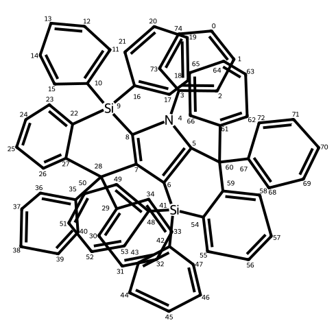 c1ccc(-n2c3c(c4c2[Si](c2ccccc2)(c2ccccc2)c2ccccc2C4(c2ccccc2)c2ccccc2)[Si](c2ccccc2)(c2ccccc2)c2ccccc2C3(c2ccccc2)c2ccccc2)cc1